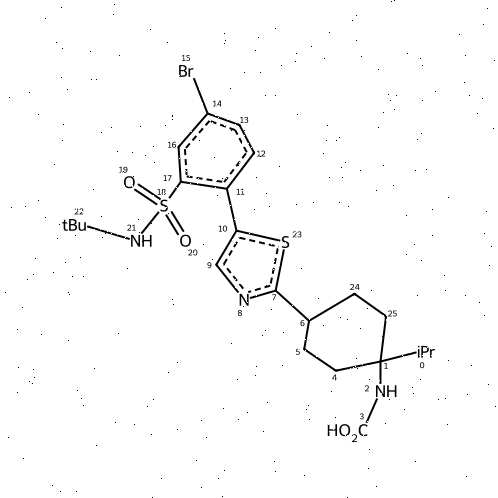 CC(C)C1(NC(=O)O)CCC(c2ncc(-c3ccc(Br)cc3S(=O)(=O)NC(C)(C)C)s2)CC1